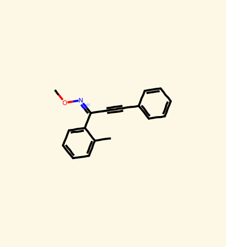 CO/N=C(/C#Cc1ccccc1)c1ccccc1C